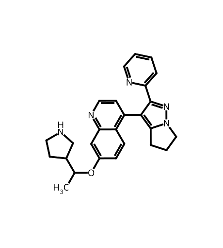 CC(Oc1ccc2c(-c3c(-c4ccccn4)nn4c3CCC4)ccnc2c1)C1CCNC1